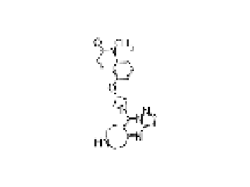 Cn1c(=O)ccc2c(OC3CN(c4c5c(nc6ccnn46)CCNCC5)C3)cccc21